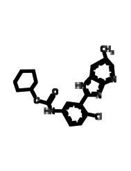 Cc1cnc2nc(-c3cc(NC(=O)OC4CCCCC4)ccc3Cl)[nH]c2c1